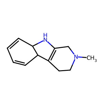 CN1CCC2=C(C1)NC1C=CC=CC21